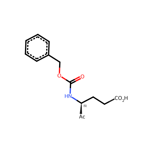 CC(=O)[C@H](CCC(=O)O)NC(=O)OCc1ccccc1